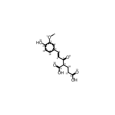 COc1cc(C=CC(=O)C(CCC(=O)O)C(=O)O)ccc1O